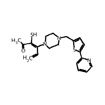 C=C/C(=C(/S)C(C)=O)N1CCN(Cc2ccc(-c3ccccn3)s2)CC1